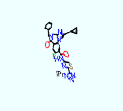 CC(C)n1cnnc1-c1nc(NC(=O)c2cc3c(cc2F)C(=O)N(Cc2ccccc2)Cc2nc(C4CC4)cn2-3)cs1